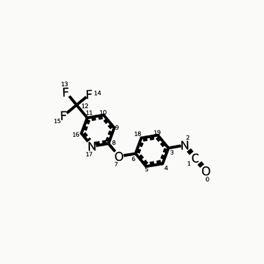 O=C=Nc1ccc(Oc2ccc(C(F)(F)F)cn2)cc1